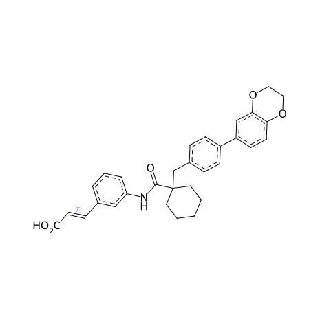 O=C(O)/C=C/c1cccc(NC(=O)C2(Cc3ccc(-c4ccc5c(c4)OCCO5)cc3)CCCCC2)c1